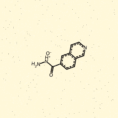 N[NH+]([O-])C(=O)c1ccc2cnccc2c1